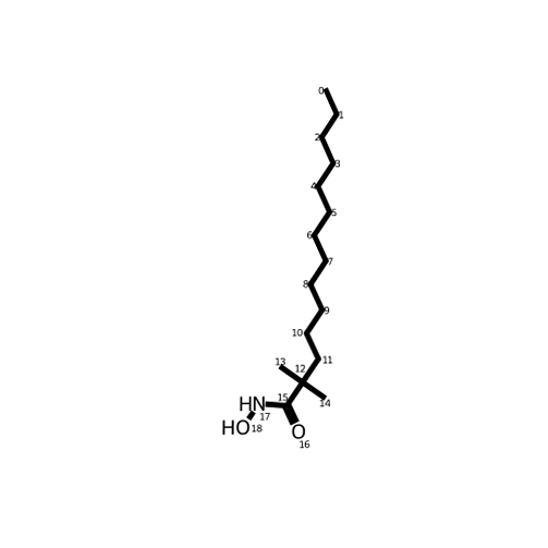 CCCCCCCCCCCCC(C)(C)C(=O)NO